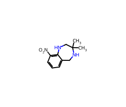 CC1(C)CNc2c(cccc2[N+](=O)[O-])CN1